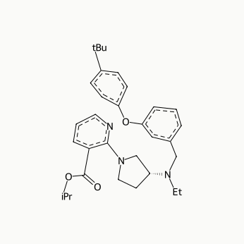 CCN(Cc1cccc(Oc2ccc(C(C)(C)C)cc2)c1)[C@@H]1CCN(c2ncccc2C(=O)OC(C)C)C1